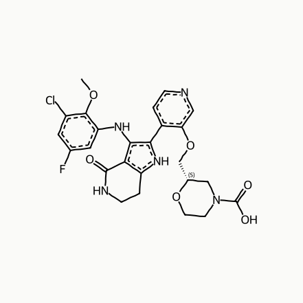 COc1c(Cl)cc(F)cc1Nc1c(-c2ccncc2OC[C@@H]2CN(C(=O)O)CCO2)[nH]c2c1C(=O)NCC2